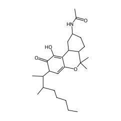 CCCCCC(C)C(C)C1C=C2OC(C)(C)C3CCC(NC(C)=O)CC3C2=C(O)C1=O